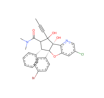 CC#CC1(O)C(C(=O)N(C)C)[C@@H](c2ccccc2)[C@]2(c3ccc(Br)cc3)Oc3cc(Cl)cnc3[C@]12O